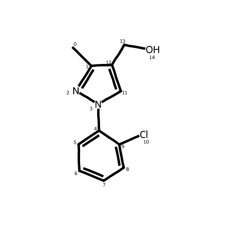 Cc1nn(-c2ccccc2Cl)cc1CO